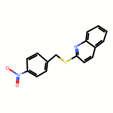 O=[N+]([O-])c1ccc(CSc2ccc3ccccc3n2)cc1